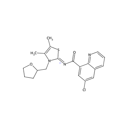 Cc1s/c(=N\C(=O)c2cc(Cl)cc3cccnc23)n(CC2CCCO2)c1C